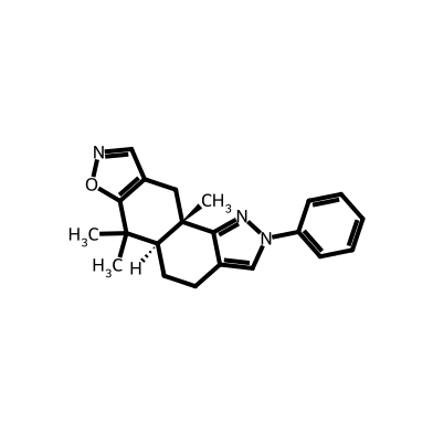 CC1(C)c2oncc2C[C@]2(C)c3nn(-c4ccccc4)cc3CC[C@@H]12